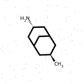 C[C@H]1CC2CC(C1)C[C@@H](N)C2